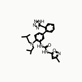 Cc1cc(NC(=O)Nc2cc(-c3ccccc3-c3nnn[nH]3)ccc2N(CC(C)C)CC(C)C)on1